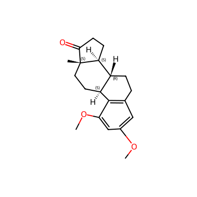 COc1cc2c(c(OC)c1)[C@H]1CC[C@]3(C)C(=O)CC[C@H]3[C@@H]1CC2